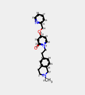 CN1CCc2cc(CCn3ccc(OCc4ccccn4)cc3=O)ccc2C1